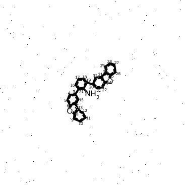 Nc1c(-c2ccc3oc4ccccc4c3c2)cccc1-c1ccc2oc3ccccc3c2c1